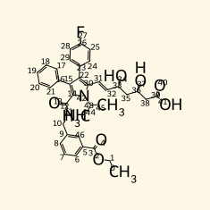 CCOC(=O)c1cccc(CNC(=O)c2c(-c3ccccc3)c(-c3ccc(F)cc3)c(/C=C/[C@@H](O)C[C@@H](O)CC(=O)O)n2C(C)C)c1